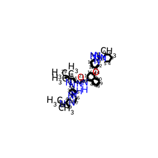 C[C@H]1CCCCN1c1nnc2ccc(O[C@@H]3CC[C@H](NC(=O)Nc4cc(C(C)(C)C)nn4-c4cnn(CCN5CC(N(C)C)C5)c4)c4ccccc43)cn12